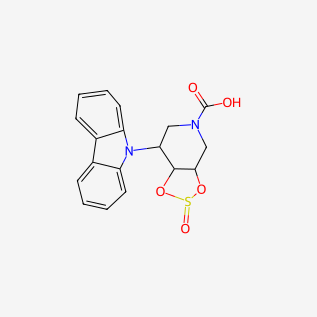 O=C(O)N1CC2OS(=O)OC2C(n2c3ccccc3c3ccccc32)C1